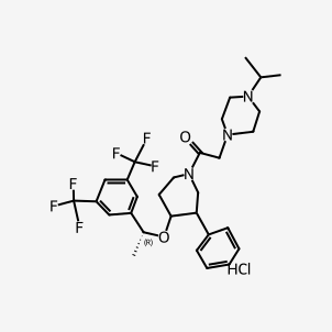 CC(C)N1CCN(CC(=O)N2CCC(O[C@H](C)c3cc(C(F)(F)F)cc(C(F)(F)F)c3)C(c3ccccc3)C2)CC1.Cl